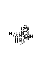 C[C@@H](O)CNc1nc(S(C)(=O)=O)nc2[nH]nc(C3CCCC3)c12